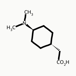 CN(C)[C@H]1CC[C@H](CC(=O)O)CC1